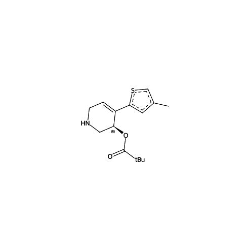 Cc1csc(C2=CCNC[C@@H]2OC(=O)C(C)(C)C)c1